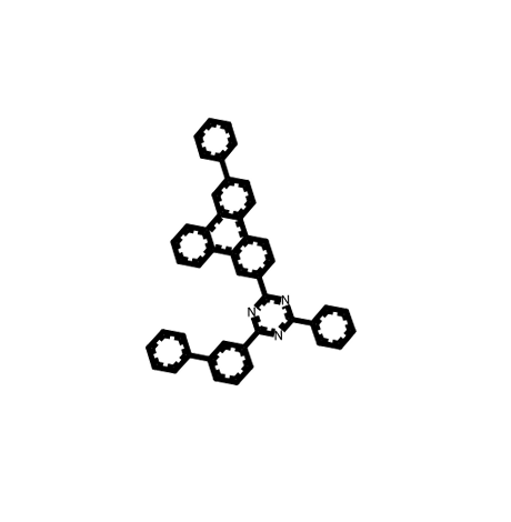 c1ccc(-c2cccc(-c3nc(-c4ccccc4)nc(-c4ccc5c6ccc(-c7ccccc7)cc6c6ccccc6c5c4)n3)c2)cc1